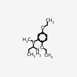 CCOc1ccc(OCC)c(N(C)C(N)CC)c1